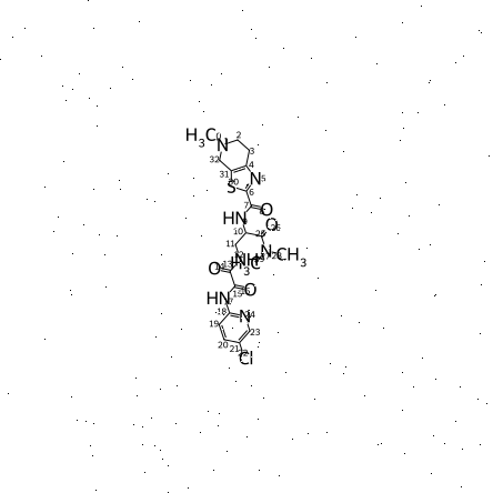 CN1CCc2nc(C(=O)NC(CNC(=O)C(=O)Nc3ccc(Cl)cn3)C(=O)N(C)C)sc2C1